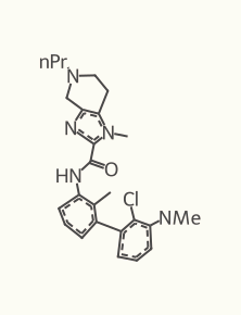 CCCN1CCc2c(nc(C(=O)Nc3cccc(-c4cccc(NC)c4Cl)c3C)n2C)C1